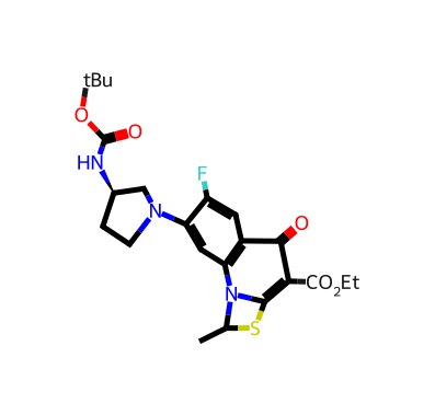 CCOC(=O)c1c2n(c3cc(N4CC[C@@H](NC(=O)OC(C)(C)C)C4)c(F)cc3c1=O)C(C)S2